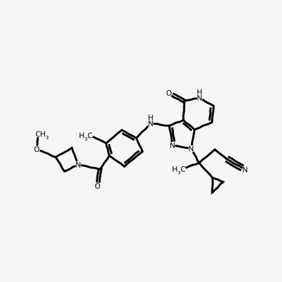 COC1CN(C(=O)c2ccc(Nc3nn(C(C)(CC#N)C4CC4)c4cc[nH]c(=O)c34)cc2C)C1